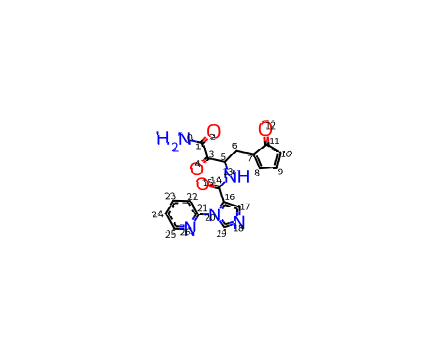 NC(=O)C(=O)C(CC1=CC=CC1=O)NC(=O)c1cncn1-c1ccccn1